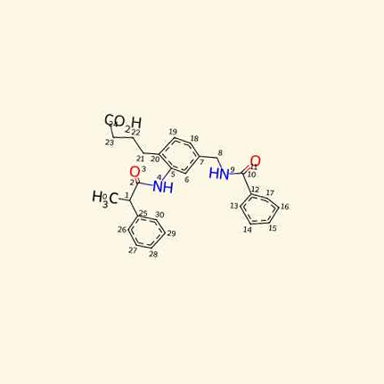 CC(C(=O)Nc1cc(CNC(=O)c2ccccc2)ccc1CCCC(=O)O)c1ccccc1